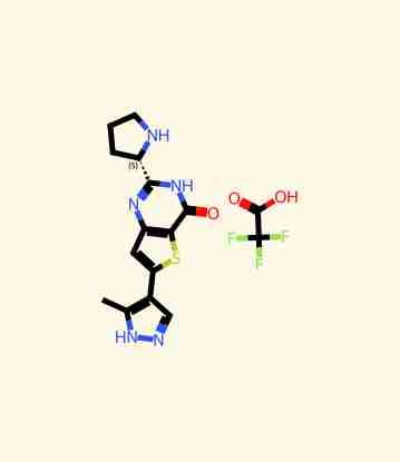 Cc1[nH]ncc1-c1cc2nc([C@@H]3CCCN3)[nH]c(=O)c2s1.O=C(O)C(F)(F)F